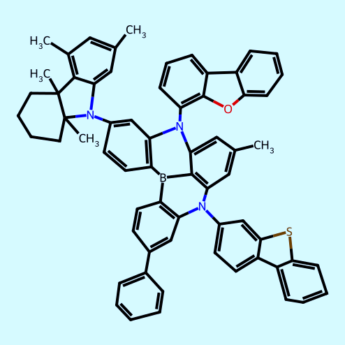 Cc1cc2c3c(c1)N(c1cccc4c1oc1ccccc14)c1cc(N4c5cc(C)cc(C)c5C5(C)CCCCC45C)ccc1B3c1ccc(-c3ccccc3)cc1N2c1ccc2c(c1)sc1ccccc12